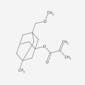 C=C(C)C(=O)OC12CC3CC(C)(CC(COC)(C3)C1)C2